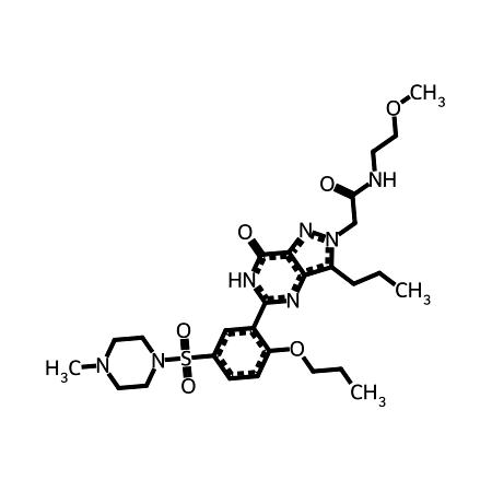 CCCOc1ccc(S(=O)(=O)N2CCN(C)CC2)cc1-c1nc2c(CCC)n(CC(=O)NCCOC)nc2c(=O)[nH]1